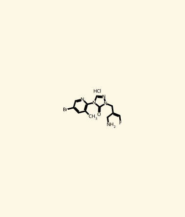 Cc1cc(Br)cnc1-n1cnn(C/C(=C/F)CN)c1=O.Cl